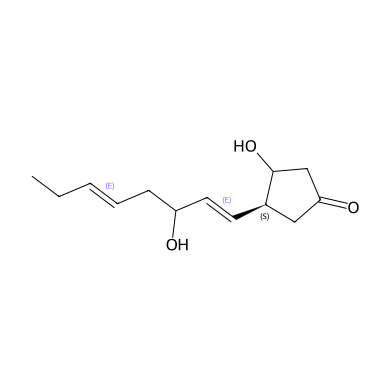 CC/C=C/CC(O)/C=C/[C@@H]1CC(=O)CC1O